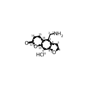 Cl.NCc1c2ccoc2cc2oc(=O)ccc12